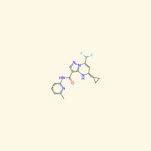 Cc1cccc(NC(=O)c2cnn3c2NC(=C2CC2)C=C3C(F)F)n1